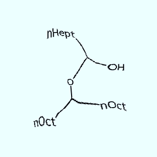 CCCCCCCCC(CCCCCCCC)OC(O)CCCCCCC